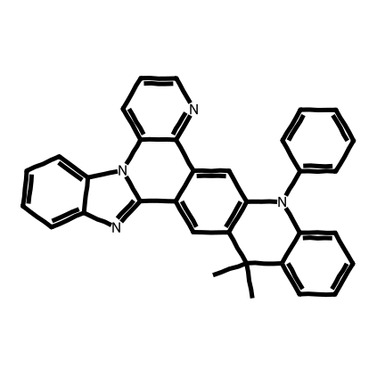 CC1(C)c2ccccc2N(c2ccccc2)c2cc3c(cc21)c1nc2ccccc2n1c1cccnc31